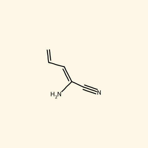 C=C/C=C(\N)C#N